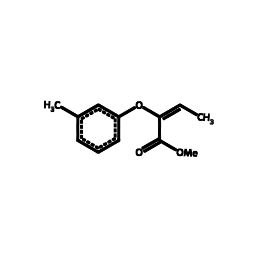 CC=C(Oc1cccc(C)c1)C(=O)OC